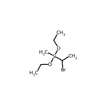 CCO[Si](C)(OCC)C(C)Br